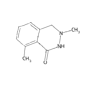 Cc1cccc2c1C(=O)NN(C)C2